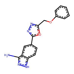 Nc1n[nH]c2ccc(-c3nnc(COc4ccccc4)o3)cc12